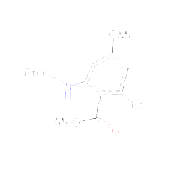 CCOC(=O)Nc1cc(OC)cc(CC)c1C(=O)OC